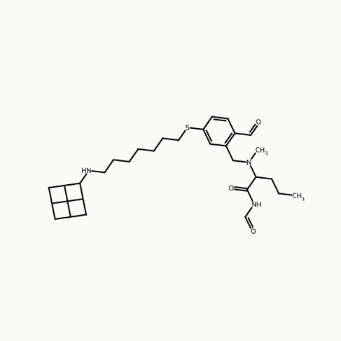 CCCC(C(=O)NC=O)N(C)Cc1cc(SCCCCCCCNC2C3CC4CC5CC2C453)ccc1C=O